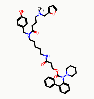 CN(CCCC(=O)N(CCCCCNC(=O)CCOC(=O)N(c1ccccc1-c1ccccc1)N1CC[CH]CC1)Cc1ccc(O)cc1)Cc1ccco1